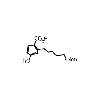 CCCCCCCCCCCCCCc1cc(O)ccc1C(=O)O